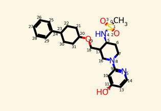 CS(=O)(=O)N[C@H]1CCN(c2cc(O)ccn2)CC1COC1CCC(c2ccccc2)CC1